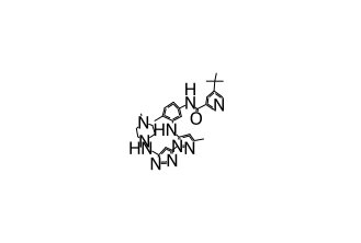 Cc1cc(Nc2cc(NC(=O)c3cncc(C(C)(C)C)c3)ccc2C)n(-c2cc(NN3CCN(C)CC3)ncn2)n1